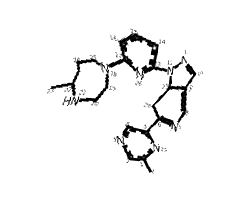 Cc1cncc(C2=NC=C3C=NN(c4cccc(N5CCNC(C)CC5)n4)C3C2)n1